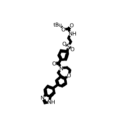 CC(C)(C)OC(=O)NCCS(=O)(=O)c1ccc(C(=O)N2CCOc3ccc(-c4ccc5nc[nH]c5c4)cc3C2)cc1